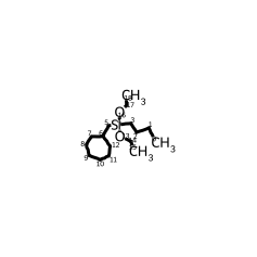 CCCC[Si](CC1CCCCCC1)(OCC)OCC